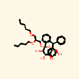 CCCCCOCC(CO[C@]1(c2ccccc2C(c2ccccc2)c2ccccc2)O[C@H](CO)[C@@H](O)[C@H](O)[C@H]1O)OCCCCC